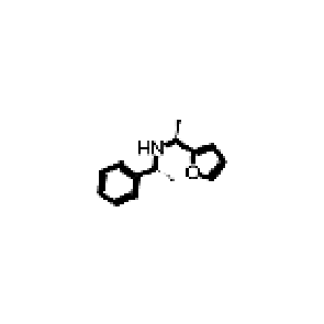 C[C@H](N[C@H](C)c1ccccc1)c1ccco1